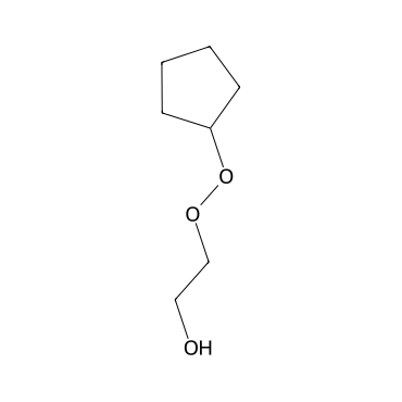 OCCOOC1CCCC1